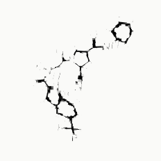 CN(CC(=O)N1CC(C(=O)Nc2ccccc2)CC1C#N)C(=O)c1cc2cc(C(F)(F)F)ccc2[nH]1